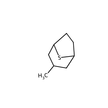 CC1CC2CCC(C1)S2